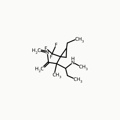 C=NC(=C)C(C)(C(CC)NC)C1(C(F)(F)F)CC1CC